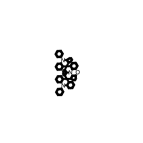 c1ccc(N2c3ccccc3C3(c4ccccc42)c2cccc4c2N2c5c(cccc5C5(c6ccccc6N(c6ccccc6)c6ccccc65)c5cccc3c52)O4)cc1